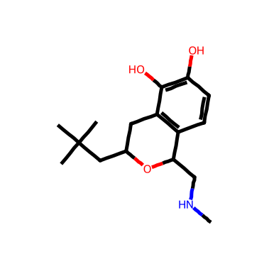 CNCC1OC(CC(C)(C)C)Cc2c1ccc(O)c2O